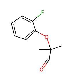 CC(C)(C=O)Oc1ccccc1F